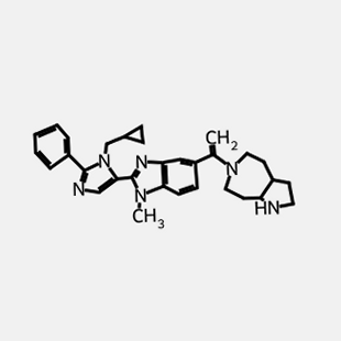 C=C(c1ccc2c(c1)nc(-c1cnc(-c3ccccc3)n1CC1CC1)n2C)N1CCC2CCNC2CC1